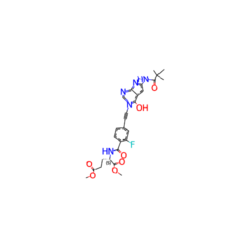 COC(=O)CC[C@H](NC(=O)c1ccc(C#Cn2cnc3nc(NC(=O)C(C)(C)C)cc-3c2O)cc1F)C(=O)OC